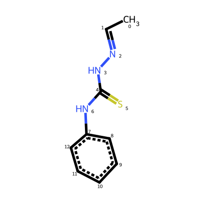 CC=NNC(=S)Nc1ccccc1